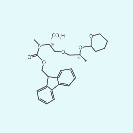 C[C@@H](COC[C@@H](C(=O)O)N(C)C(=O)OCC1c2ccccc2-c2ccccc21)OC1CCCCO1